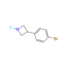 FN1CC(c2ccc(Br)cc2)C1